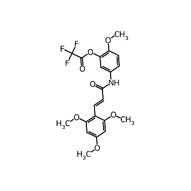 COc1cc(OC)c(/C=C/C(=O)Nc2ccc(OC)c(OC(=O)C(F)(F)F)c2)c(OC)c1